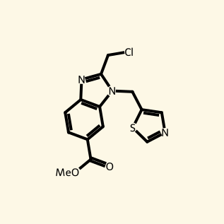 COC(=O)c1ccc2nc(CCl)n(Cc3cncs3)c2c1